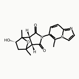 Cc1c(N2C(=O)[C@@H]3[C@H](C2=O)C2(C)C[C@H](O)C3(C)O2)ccc2nccn12